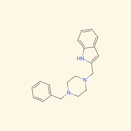 c1ccc(CN2CCN(Cc3cc4ccccc4[nH]3)CC2)cc1